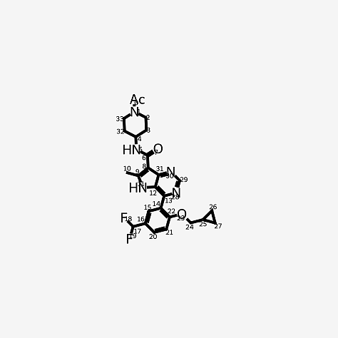 CC(=O)N1CCC(NC(=O)c2c(C)[nH]c3c(-c4cc(C(F)F)ccc4OCC4CC4)ncnc23)CC1